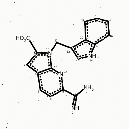 N=C(N)c1ccc2cc(C(=O)O)n(Cc3c[nH]c4ccccc34)c2n1